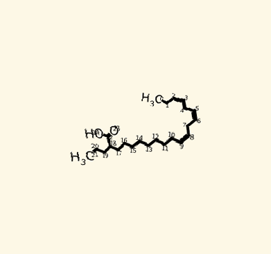 CC/C=C\C/C=C\C/C=C\CCCCCCCCC(CCC)C(=O)O